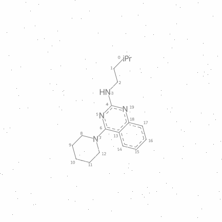 CC(C)CCNc1nc(N2CCCCC2)c2ccccc2n1